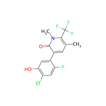 Cc1cc(-c2cc(O)c(Cl)cc2F)c(=O)n(C)c1C(F)(F)F